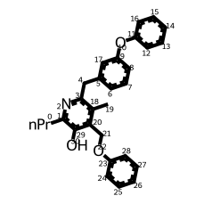 CCCc1nc(Cc2cccc(Oc3ccccc3)c2)c(C)c(COc2ccccc2)c1O